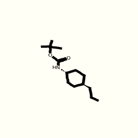 CCC[C@H]1CC[C@H](NC(=O)OC(C)(C)C)CC1